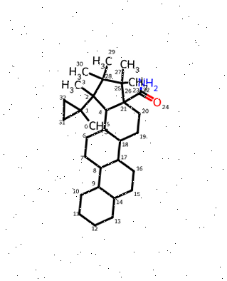 CC1(C2(C)C3C4CCC5C6CCCCC6CCC5C4CCC3(C(N)=O)C(C)(C)C2(C)C)CC1